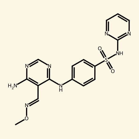 CON=Cc1c(N)ncnc1Nc1ccc(S(=O)(=O)Nc2ncccn2)cc1